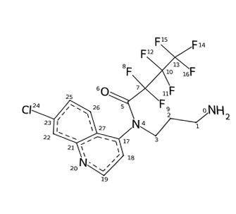 NCCCN(C(=O)C(F)(F)C(F)(F)C(F)(F)F)c1ccnc2cc(Cl)ccc12